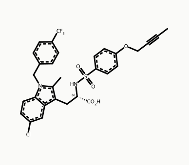 CC#CCOc1ccc(S(=O)(=O)N[C@@H](Cc2c(C)n(Cc3ccc(C(F)(F)F)cc3)c3ccc(Cl)cc23)C(=O)O)cc1